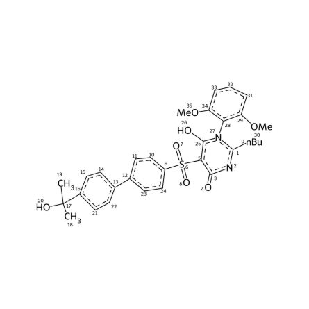 CCCCc1nc(=O)c(S(=O)(=O)c2ccc(-c3ccc(C(C)(C)O)cc3)cc2)c(O)n1-c1c(OC)cccc1OC